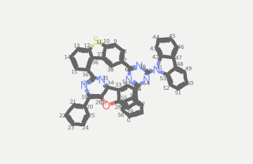 c1ccc(-c2nc(-c3ccc4sc5cccc(-c6nc(-c7ccccc7)c7oc8ccccc8c7n6)c5c4c3)nc(-n3c4ccccc4c4ccccc43)n2)cc1